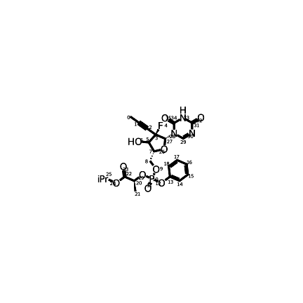 CC#C[C@@]1(F)C(O)[C@@H](COP(=O)(Oc2ccccc2)O[C@@H](C)C(=O)OC(C)C)O[C@H]1n1cnc(=O)[nH]c1=O